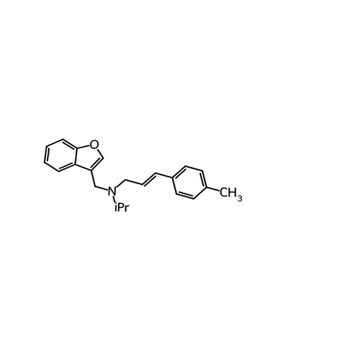 Cc1ccc(/C=C/CN(Cc2coc3ccccc23)C(C)C)cc1